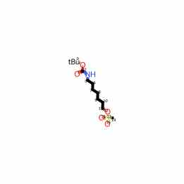 CC(C)(C)OC(=O)NCCCCCCCOS(C)(=O)=O